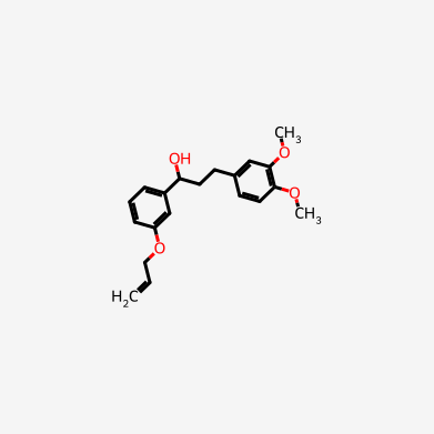 C=CCOc1cccc(C(O)CCc2ccc(OC)c(OC)c2)c1